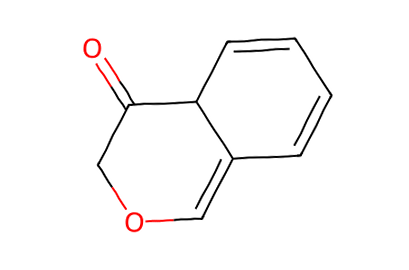 O=C1COC=C2C=CC=CC12